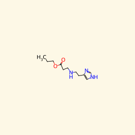 CCCOC(=O)CCNCCc1c[nH]cn1